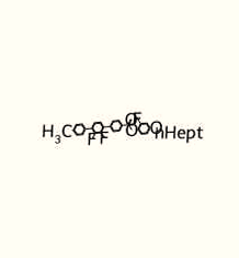 CCCCCCCOc1ccc(OC(=O)c2ccc(-c3ccc(-c4ccc(C)cc4)c(F)c3F)cc2)c(F)c1